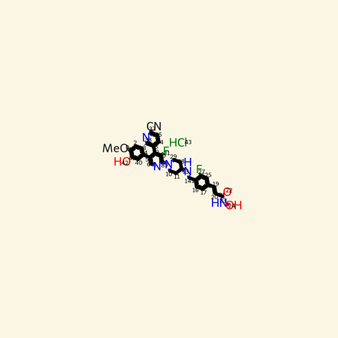 COc1ccc(-c2cnc(N3CCC(NCc4ccc(/C=C/C(=O)NO)cc4F)CC3)c(F)c2-c2ccc(C#N)nc2)cc1O.Cl